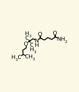 CC(C)CCOC(C)(C)CNC(=O)CCCC(N)=O